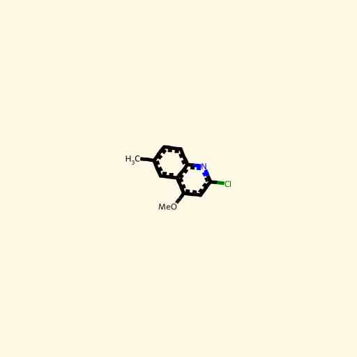 COc1cc(Cl)nc2ccc(C)cc12